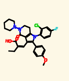 CC/C(=C/c1c2c(n(-c3ccc(F)cc3Cl)c1-c1ccc(OC)cc1)CCN(N1CCCCC1)C2=O)C(=O)O